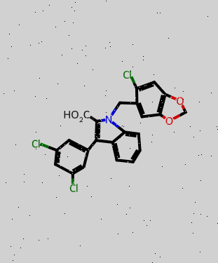 O=C(O)c1c(-c2cc(Cl)cc(Cl)c2)c2ccccc2n1Cc1cc2c(cc1Cl)OCO2